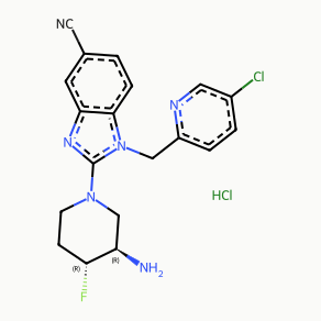 Cl.N#Cc1ccc2c(c1)nc(N1CC[C@@H](F)[C@H](N)C1)n2Cc1ccc(Cl)cn1